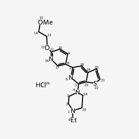 CCN1CCN(c2nc(-c3ccc(OCCOC)nc3)cc3ccsc23)CC1.Cl